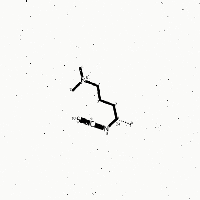 C[C@@H](CCCN(C)C)N=C=S